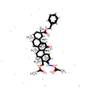 CC(=O)OC[C@]1(C)/C(=N/OC(C)=O)CC[C@@]2(C)[C@H]1CC[C@]1(C)[C@@H]2C(=O)C=C2[C@@H]3C[C@@](C)(C(=O)OCc4ccccc4)CC[C@]3(C)CC[C@]21C